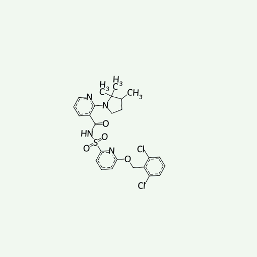 CC1CCN(c2ncccc2C(=O)NS(=O)(=O)c2cccc(OCc3c(Cl)cccc3Cl)n2)C1(C)C